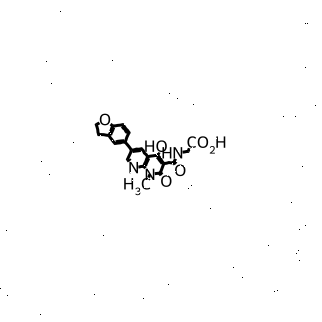 Cn1c(=O)c(C(=O)NCC(=O)O)c(O)c2cc(-c3ccc4c(c3)CCO4)cnc21